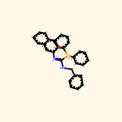 c1ccc(CN/C(=N/c2ccc3ccccc3c2)P(c2ccccc2)c2ccccc2)cc1